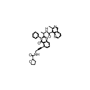 Cc1ncc2cccnc2c1C(=O)NC(C)c1nc2cccc(C#CCNC(=O)[C@H]3CCCO3)c2c(=O)n1-c1ccccc1